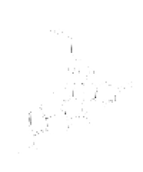 CC1=C(C#N)[C@@H](c2ccc(C#N)cc2S(=O)(=O)NCCCO)N(C)C(=O)N1c1cccc(CF)c1